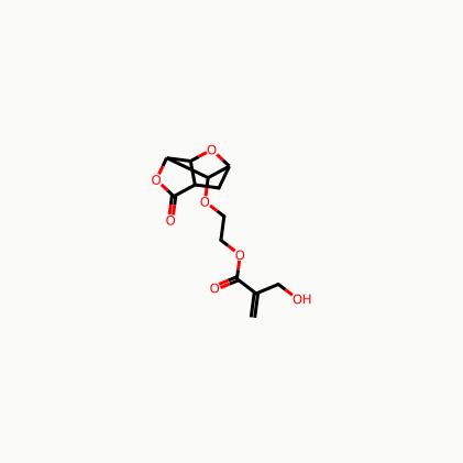 C=C(CO)C(=O)OCCOC1C2CC3C(=O)OC1C3O2